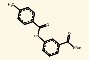 CNC(=O)c1c[c]cc(NC(=O)c2ccc(C)cc2)c1